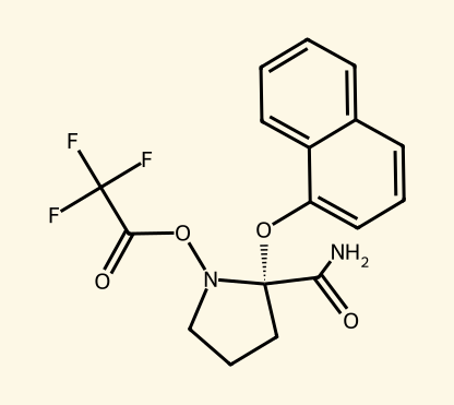 NC(=O)[C@@]1(Oc2cccc3ccccc23)CCCN1OC(=O)C(F)(F)F